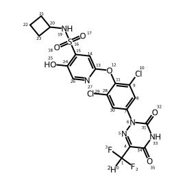 [2H]C(F)(F)c1nn(-c2cc(Cl)c(Oc3cc(S(=O)(=O)NC4CCC4)c(O)cn3)c(Cl)c2)c(=O)[nH]c1=O